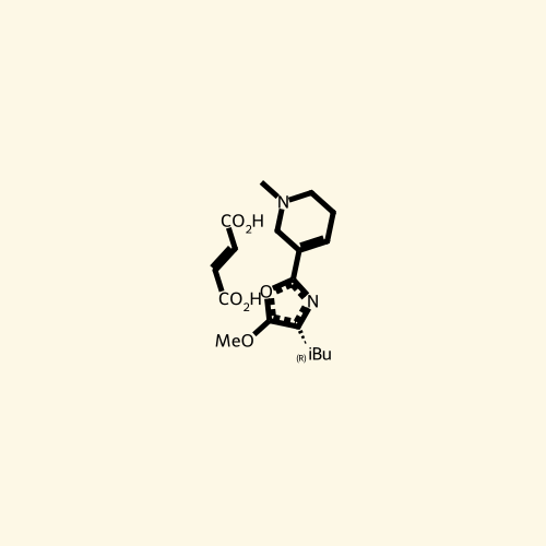 CC[C@@H](C)c1nc(C2=CCCN(C)C2)oc1OC.O=C(O)C=CC(=O)O